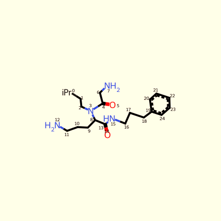 CC(C)CCN(C(=O)CN)C(CCCN)C(=O)NCCCc1ccccc1